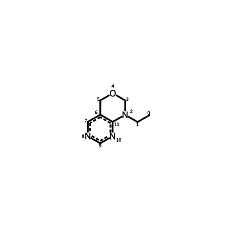 CCN1COCc2cncnc21